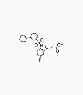 O=C(O)CCc1cn(S(=O)(=O)c2cccc(-c3ccccc3)c2)c2ccc(F)cc12